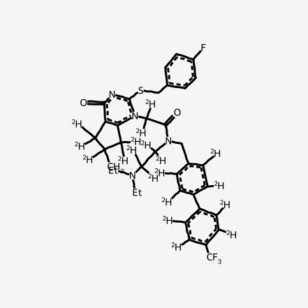 [2H]c1c([2H])c(-c2c([2H])c([2H])c(C(F)(F)F)c([2H])c2[2H])c([2H])c([2H])c1CN(C(=O)C([2H])([2H])n1c(SCc2ccc(F)cc2)nc(=O)c2c1C([2H])([2H])C([2H])(C)C2([2H])[2H])C([2H])([2H])C([2H])([2H])N(CC)CC